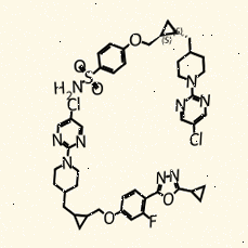 Fc1cc(OCC2CC2CC2CCN(c3ncc(Cl)cn3)CC2)ccc1-c1nnc(C2CC2)o1.NS(=O)(=O)c1ccc(OC[C@H]2C[C@@H]2CC2CCN(c3ncc(Cl)cn3)CC2)cc1